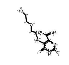 N=C(P)c1nc(Cl)[nH]c(=O)c1NCCOCCO